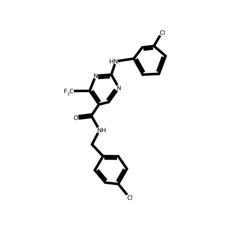 O=C(NCc1ccc(Cl)cc1)c1cnc(Nc2cccc(Cl)c2)nc1C(F)(F)F